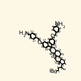 CCC(C)CCC(C)C1CCC2C3CCC4CC(c5ccc(OCc6ccc(N)cc6)cc5)(c5ccc(OCc6ccc(N)cc6)cc5)CCC4(C)C3CCC12C